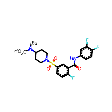 CC(C)(C)N(C(=O)O)C1CCN(S(=O)(=O)c2ccc(F)c(C(=O)Nc3ccc(F)c(F)c3)c2)CC1